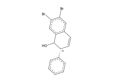 OC1c2cc(Br)c(Br)cc2C=C[C@@H]1c1ccccc1